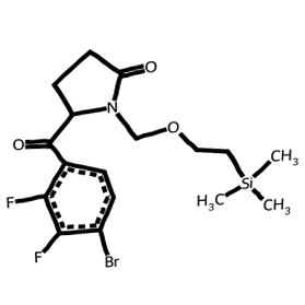 C[Si](C)(C)CCOCN1C(=O)CCC1C(=O)c1ccc(Br)c(F)c1F